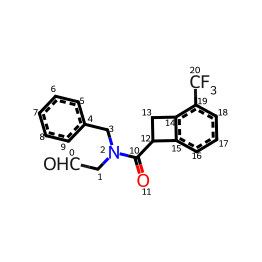 O=CCN(Cc1ccccc1)C(=O)C1Cc2c1cccc2C(F)(F)F